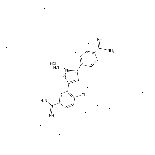 Cl.Cl.N=C(N)c1ccc(-c2cc(-c3cc(C(=N)N)ccc3Cl)on2)cc1